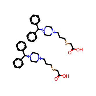 O=C(O)CSCCCN1CCN(C(c2ccccc2)c2ccccc2)CC1.O=C(O)CSCCCN1CCN(C(c2ccccc2)c2ccccc2)CC1